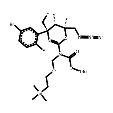 C[C@@H]1[C@@](C)(CN=[N+]=[N-])SC(N(COCC[Si](C)(C)C)C(=O)OC(C)(C)C)=N[C@]1(CF)c1cc(Br)ccc1F